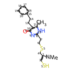 CN/C(=C\S)CSCCc1nc(=O)c(CCc2ccccc2)c(C)[nH]1